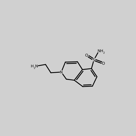 NCCN1C=Cc2c(cccc2S(N)(=O)=O)C1